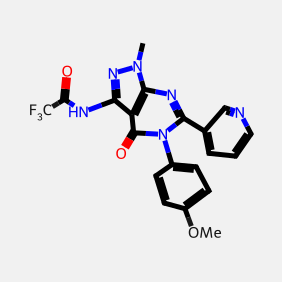 COc1ccc(-n2c(-c3cccnc3)nc3c(c(NC(=O)C(F)(F)F)nn3C)c2=O)cc1